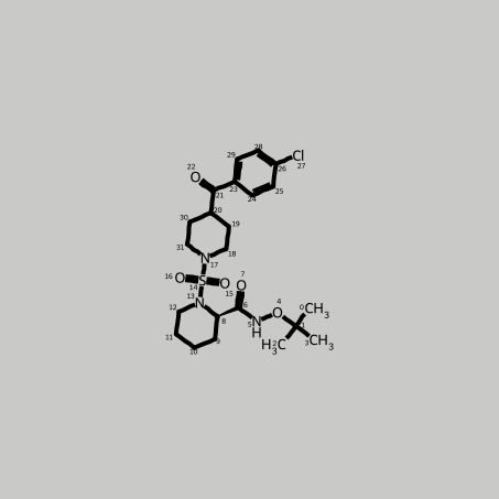 CC(C)(C)ONC(=O)[C@H]1CCCCN1S(=O)(=O)N1CCC(C(=O)c2ccc(Cl)cc2)CC1